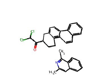 Cc1cc2ccccc2c(C)n1.O=C(C(Cl)Cl)C1CCc2c(ccc3c2ccc2ccccc23)C1